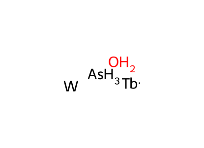 O.[AsH3].[Tb].[W]